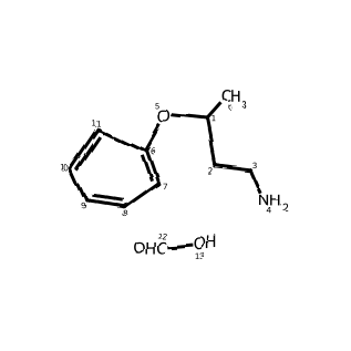 CC(CCN)Oc1ccccc1.O=CO